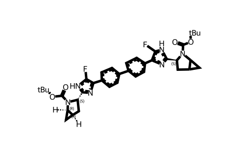 CC(C)(C)OC(=O)N1C2CC2C[C@H]1c1nc(-c2ccc(-c3ccc(-c4nc([C@@H]5C[C@H]6C[C@H]6N5C(=O)OC(C)(C)C)[nH]c4F)cc3)cc2)c(F)[nH]1